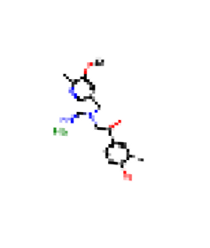 Br.CCOc1cc2c(nc1C)C(=N)N(CC(=O)c1ccc(O)c(C)c1)C2